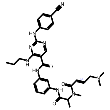 CCCNc1nc(Nc2ccc(C#N)cc2)ncc1C(=O)Nc1cccc(NC(=O)C(C)N(C)C(=O)/C=C/CN(C)C)c1